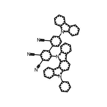 N#Cc1cc(-c2ccc(-n3c4ccccc4c4ccccc43)cc2C#N)c(-n2c3ccccc3c3ccc4c(c5ccccc5n4-c4ccccc4)c32)cc1C#N